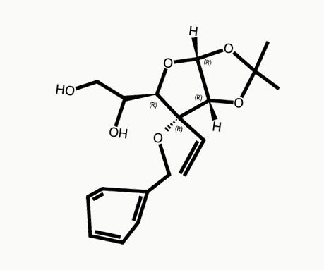 C=C[C@@]1(OCc2ccccc2)[C@@H](C(O)CO)O[C@@H]2OC(C)(C)O[C@@H]21